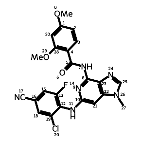 COc1ccc(C(=O)Nc2nc(Nc3c(F)cc(C#N)cc3Cl)cc3c2ncn3C)c(OC)c1